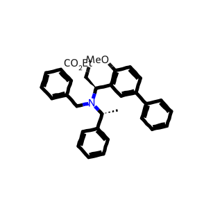 CCOC(=O)C[C@@H](c1cc(-c2ccccc2)ccc1OC)N(Cc1ccccc1)[C@H](C)c1ccccc1